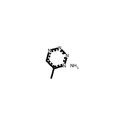 Cc1cnnnn1.N